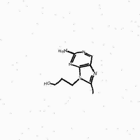 CNc1ncc2nc(C)n(CCCO)c2n1